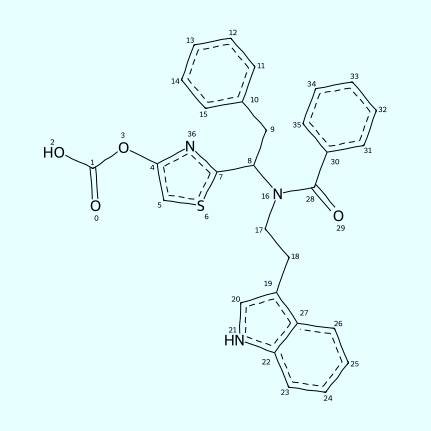 O=C(O)Oc1csc(C(Cc2ccccc2)N(CCc2c[nH]c3ccccc23)C(=O)c2ccccc2)n1